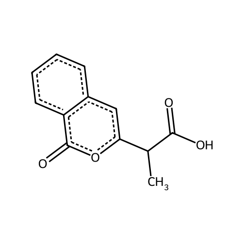 CC(C(=O)O)c1cc2ccccc2c(=O)o1